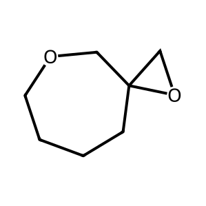 C1CCC2(COC1)CO2